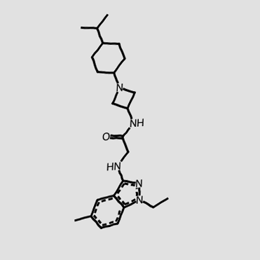 CCn1nc(NCC(=O)NC2CN(C3CCC(C(C)C)CC3)C2)c2cc(C)ccc21